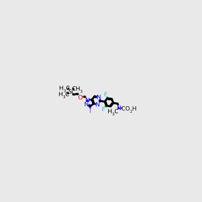 CN(Cc1cc(F)c(-c2ncc3c(n2)c(I)nn3COCC[Si](C)(C)C)c(F)c1)C(=O)O